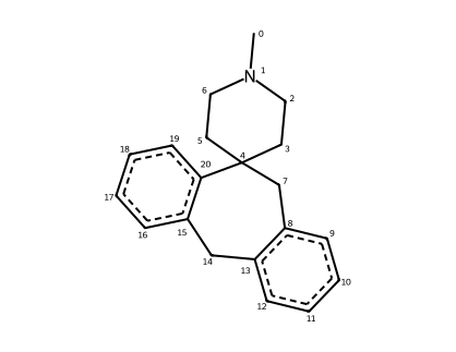 CN1CCC2(CC1)Cc1ccccc1Cc1ccccc12